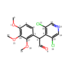 COc1ccc(C(C=O)c2c(Cl)cncc2Cl)c(OC)c1OC